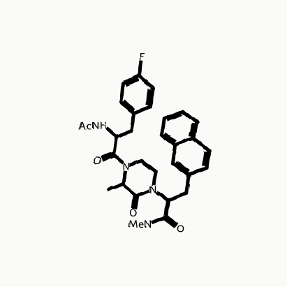 CNC(=O)C(Cc1ccc2ccccc2c1)N1CCN(C(=O)C(Cc2ccc(F)cc2)NC(C)=O)C(C)C1=O